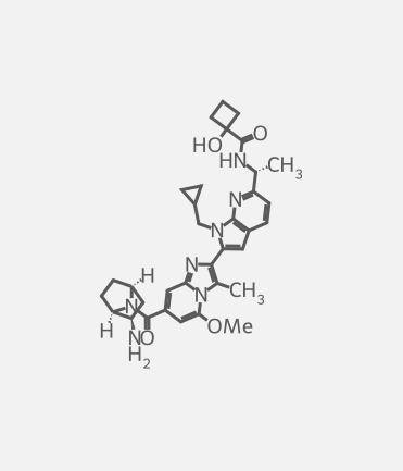 COc1cc(C(=O)N2[C@H]3CC[C@@H]2[C@H](N)C3)cc2nc(-c3cc4ccc([C@@H](C)NC(=O)C5(O)CCC5)nc4n3CC3CC3)c(C)n12